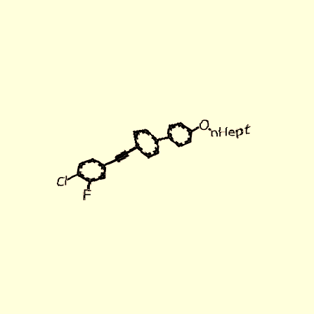 CCCCCCCOc1ccc(-c2ccc(C#Cc3ccc(Cl)c(F)c3)cc2)cc1